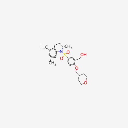 Cc1cc(C)c2c(c1)N(S(=O)(=O)c1ccc(OCC3CCOCC3)c(CO)c1)[C@@H](C)CC2